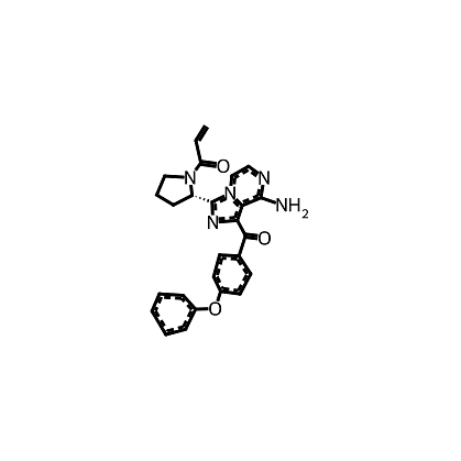 C=CC(=O)N1CCC[C@H]1c1nc(C(=O)c2ccc(Oc3ccccc3)cc2)c2c(N)nccn12